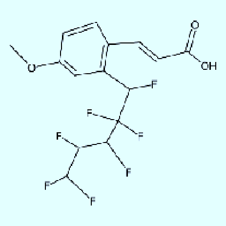 COc1ccc(C=CC(=O)O)c(C(F)C(F)(F)C(F)C(F)C(F)F)c1